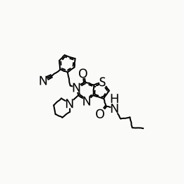 CCCCNC(=O)c1csc2c(=O)n(Cc3ccccc3C#N)c(N3CCCCC3)nc12